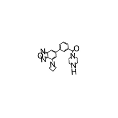 O=C(c1cccc(-c2cc(N3CCC3)c3nonc3c2)c1)N1CCNCC1